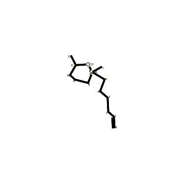 C=CCCCC[Si]1(C)CCCC(C)O1